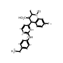 CCOC(C)C(C(=O)O)C(c1ccc(F)cc1)c1ccnc(Nc2ccc(CN)cc2)n1